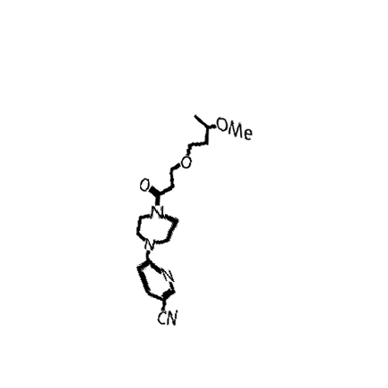 COC(C)CCOCCC(=O)N1CCN(c2ccc(C#N)cn2)CC1